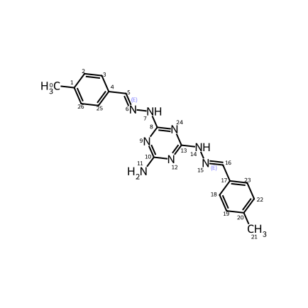 Cc1ccc(/C=N/Nc2nc(N)nc(N/N=C/c3ccc(C)cc3)n2)cc1